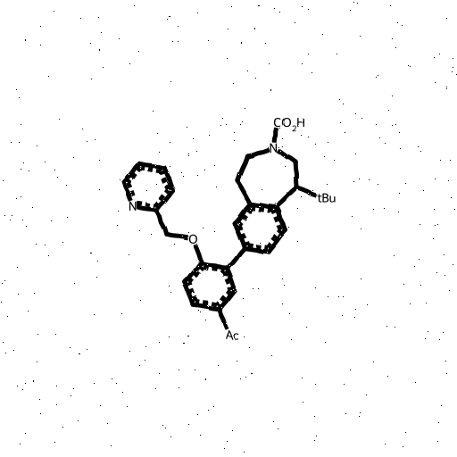 CC(=O)c1ccc(OCc2ccccn2)c(-c2ccc3c(c2)CCN(C(=O)O)CC3C(C)(C)C)c1